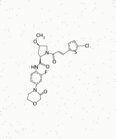 CO[C@@H]1C[C@H](C(=O)Nc2ccc(N3CCOCC3=O)cc2F)N(C(=O)C=Cc2ccc(Cl)s2)C1